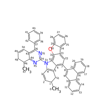 CC1C=Cc2c(c3c(-c4cc5ccccc5c5ccccc45)cc4c5ccccc5oc4c3n2-c2nc(-c3ccccc3)c3c(n2)C(C)CC=C3)C1